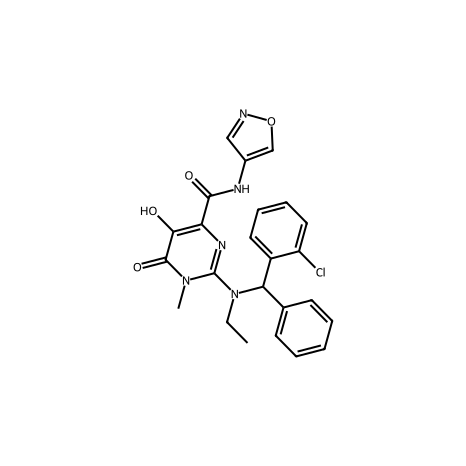 CCN(c1nc(C(=O)Nc2cnoc2)c(O)c(=O)n1C)C(c1ccccc1)c1ccccc1Cl